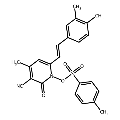 Cc1ccc(S(=O)(=O)On2c(C=Cc3ccc(C)c(C)c3)cc(C)c(C#N)c2=O)cc1